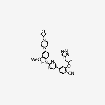 COc1cc(N2CCN(C3COC3)CC2)ccc1Nc1ncc(-c2ccc(C#N)c(OC(C)Cn3cnnn3)c2)cn1